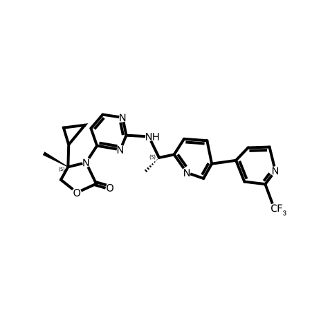 C[C@H](Nc1nccc(N2C(=O)OC[C@]2(C)C2CC2)n1)c1ccc(-c2ccnc(C(F)(F)F)c2)cn1